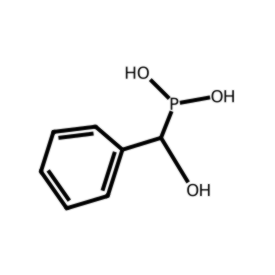 OC(c1ccccc1)P(O)O